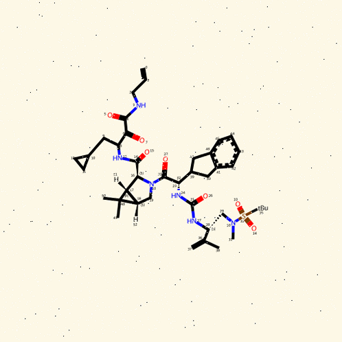 C=CCNC(=O)C(=O)C(CC1CC1)NC(=O)[C@@H]1[C@@H]2[C@H](CN1C(=O)[C@@H](NC(=O)N[C@H](CN(C)S(=O)(=O)C(C)(C)C)C(=C)C)C1Cc3ccccc3C1)C2(C)C